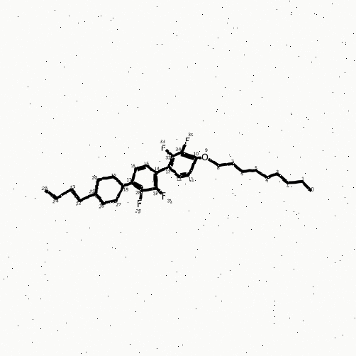 CCCCCCCCCOc1ccc(-c2ccc(C3CCC(CCCC)CC3)c(F)c2F)c(F)c1F